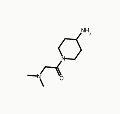 CN(C)CC(=O)N1CCC(N)CC1